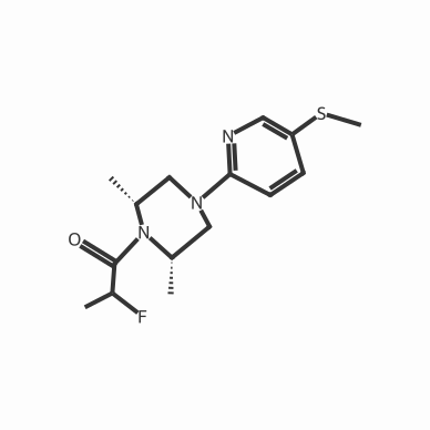 CSc1ccc(N2C[C@@H](C)N(C(=O)C(C)F)[C@@H](C)C2)nc1